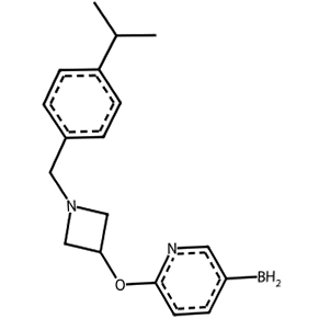 Bc1ccc(OC2CN(Cc3ccc(C(C)C)cc3)C2)nc1